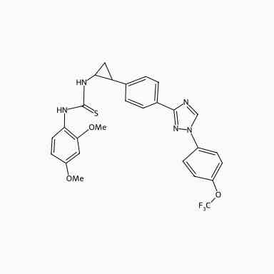 COc1ccc(NC(=S)NC2CC2c2ccc(-c3ncn(-c4ccc(OC(F)(F)F)cc4)n3)cc2)c(OC)c1